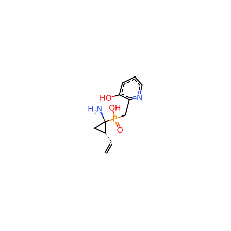 C=C[C@@H]1C[C@]1(N)P(=O)(O)Cc1ncccc1O